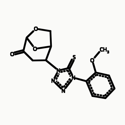 COc1ccccc1-n1nnn(C2CC(=O)C3OCC2O3)c1=S